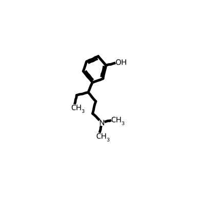 CCC(CCN(C)C)c1cccc(O)c1